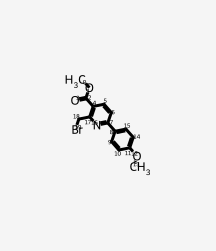 COC(=O)c1ccc(-c2ccc(OC)cc2)nc1CBr